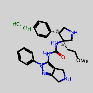 COCC[C@@]1(NC(=O)Nc2c3c(nn2-c2ccccc2)CNC3)CNC[C@H]1c1ccccc1.Cl.Cl